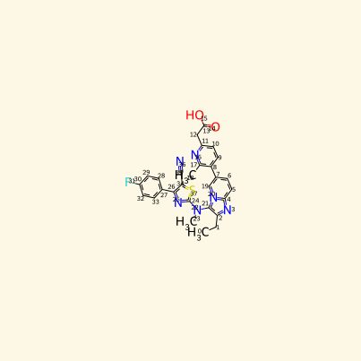 CCc1nc2ccc(-c3ccc(CC(=O)O)nc3C)cn2c1N(C)c1nc(-c2ccc(F)cc2)c(C#N)s1